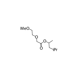 COCCOCC(=O)OC(C)CC(C)C